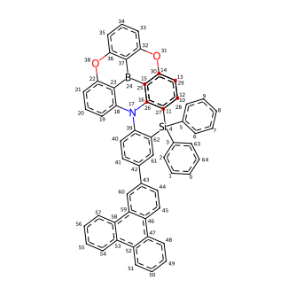 c1ccc([Si]2(c3ccccc3)c3ccccc3N(c3cccc4c3B3c5ccccc5Oc5cccc(c53)O4)c3ccc(-c4ccc5c6ccccc6c6ccccc6c5c4)cc32)cc1